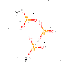 O=[PH]([O-])[O-].O=[PH]([O-])[O-].O=[PH]([O-])[O-].[Pt+2].[Zr+4]